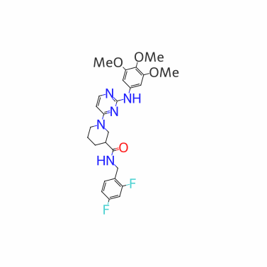 COc1cc(Nc2nccc(N3CCCC(C(=O)NCc4ccc(F)cc4F)C3)n2)cc(OC)c1OC